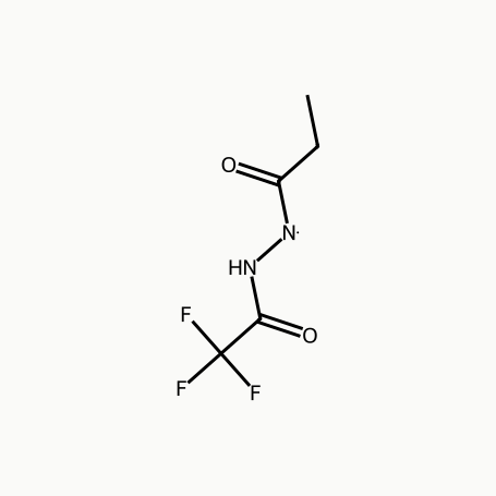 CCC(=O)[N]NC(=O)C(F)(F)F